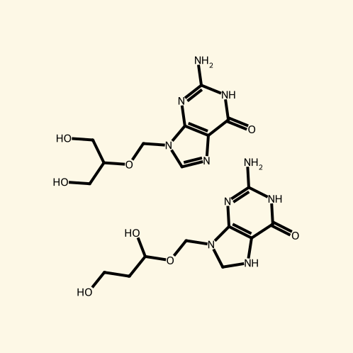 Nc1nc2c(c(=O)[nH]1)NCN2COC(O)CCO.Nc1nc2c(ncn2COC(CO)CO)c(=O)[nH]1